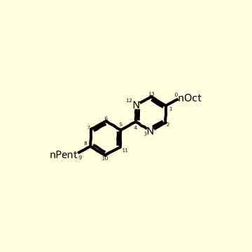 CCCCCCCCc1cnc(-c2ccc(CCCCC)cc2)nc1